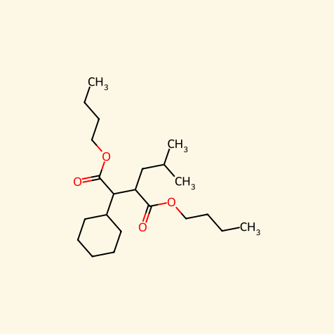 CCCCOC(=O)C(CC(C)C)C(C(=O)OCCCC)C1CCCCC1